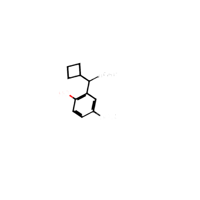 CCCCCCCCc1ccc(O)c(C(CCCCC)C2CCC2)c1